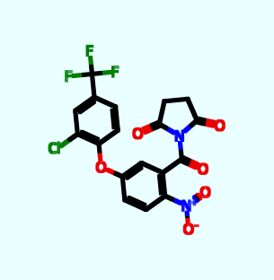 O=C1CCC(=O)N1C(=O)c1cc(Oc2ccc(C(F)(F)F)cc2Cl)ccc1[N+](=O)[O-]